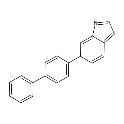 C1=CC(c2ccc(-c3ccccc3)cc2)C=C2N=CC=C12